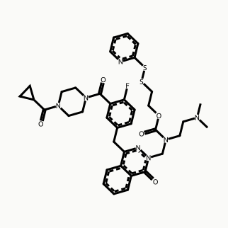 CN(C)CCN(Cn1nc(Cc2ccc(F)c(C(=O)N3CCN(C(=O)C4CC4)CC3)c2)c2ccccc2c1=O)C(=O)OCCSSc1ccccn1